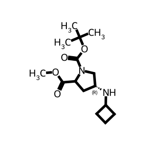 COC(=O)C1C[C@@H](NC2CCC2)CN1C(=O)OC(C)(C)C